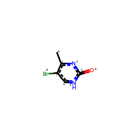 Cc1nc(=O)[nH]cc1Br